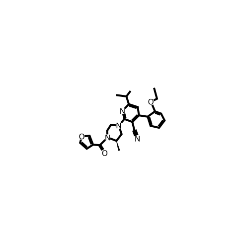 CCOc1ccccc1-c1cc(C(C)C)nc(N2CCN(C(=O)c3ccoc3)[C@H](C)C2)c1C#N